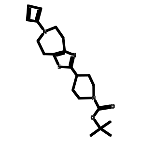 CC(C)(C)OC(=O)N1CCC(c2nc3c(s2)CCN(C2=CC=C2)CC3)CC1